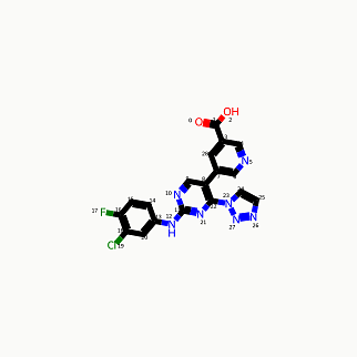 O=C(O)c1cncc(-c2cnc(Nc3ccc(F)c(Cl)c3)nc2-n2ccnn2)c1